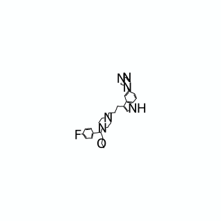 COCC(c1ccc(F)cc1)N1CCN(CCCc2c[nH]c3ccc(-n4cnnc4)cc23)CC1